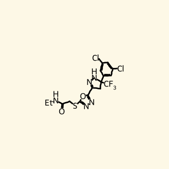 CCNC(=O)CSc1nnc(C2=NNC(c3cc(Cl)cc(Cl)c3)(C(F)(F)F)C2)o1